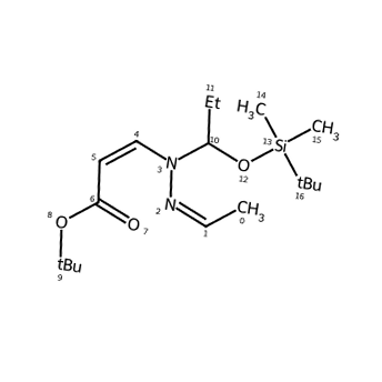 C/C=N\N(/C=C\C(=O)OC(C)(C)C)C(CC)O[Si](C)(C)C(C)(C)C